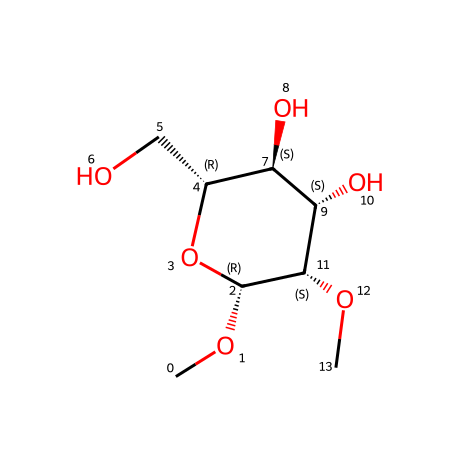 CO[C@@H]1O[C@H](CO)[C@@H](O)[C@H](O)[C@@H]1OC